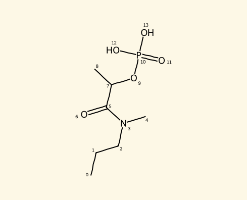 CCCN(C)C(=O)C(C)OP(=O)(O)O